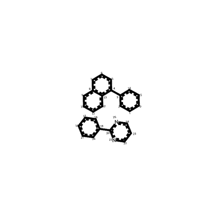 c1ccc(-c2cccc3ccccc23)cc1.c1ccc(-c2ncccn2)cc1